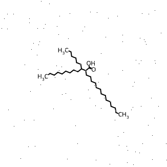 CCCCCCCCCCCCCCC(C(=O)O)C(CCCCCC)CCCCCCCCC